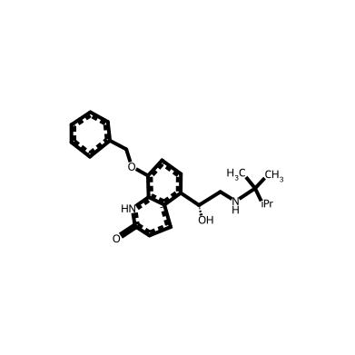 CC(C)C(C)(C)NC[C@H](O)c1ccc(OCc2ccccc2)c2[nH]c(=O)ccc12